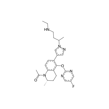 CCNCCC(C)n1cc(-c2ccc3c(c2Oc2ncc(F)cn2)CC[C@H](C)N3C(C)=O)cn1